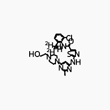 [2H]C([2H])([2H])c1cccc(Cl)c1NC(=O)c1cnc(Nc2cc(N3CCN(CCO)CC3)nc(C)n2)s1